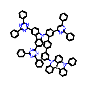 c1ccc(-c2cc(-c3ccc(-n4c5ccc(-c6nc(-c7ccccc7)nc(-c7ccccc7)n6)cc5c5cc(-c6nc(-c7ccccc7)nc(-c7ccccc7)n6)ccc54)c(-c4ccc(-c5cccc(N6c7ccccc7B7c8ccccc8N(c8ccccc8)c8cccc6c87)c5)cc4)c3)nc(-c3ccccc3)n2)cc1